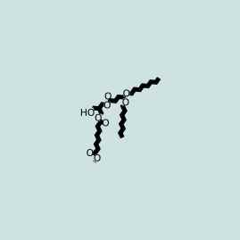 CCCCCCCCOC(CCC(=O)OCC(CO)COC(=O)CCCCCCC(=O)OC)OCCCCCCCC